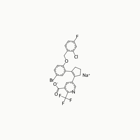 O=C([O-])c1cc(C2=C(c3cc(Br)ccc3OCc3ccc(F)cc3Cl)CCC2)cnc1C(F)(F)F.[Na+]